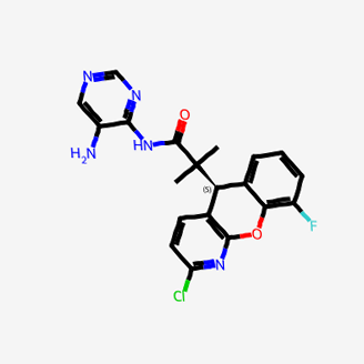 CC(C)(C(=O)Nc1ncncc1N)[C@@H]1c2ccc(Cl)nc2Oc2c(F)cccc21